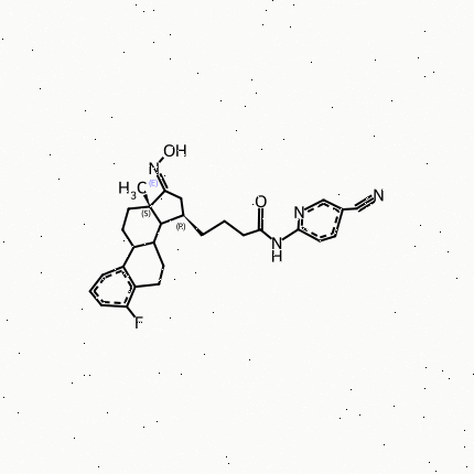 C[C@]12CCC3c4cccc(F)c4CCC3C1[C@H](CCCC(=O)Nc1ccc(C#N)cn1)C/C2=N\O